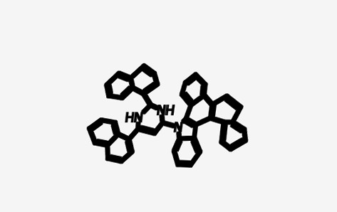 C1=C(c2cccc3ccccc23)NC(c2cccc3ccccc23)NC1n1c2ccccc2c2c3c4ccccc4ccc3c3ccccc3c21